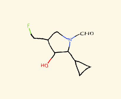 O=CN1CC(CF)C(O)C1C1CC1